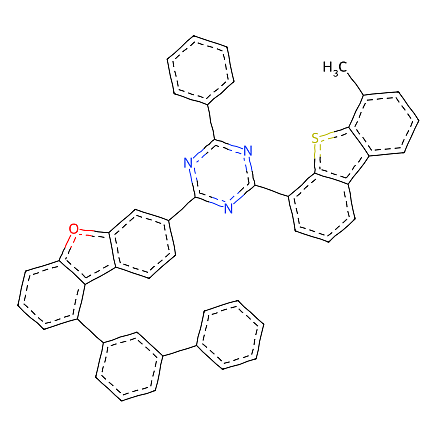 Cc1cccc2c1sc1c(-c3nc(-c4ccccc4)nc(-c4ccc5c(c4)oc4cccc(-c6cccc(-c7ccccc7)c6)c45)n3)cccc12